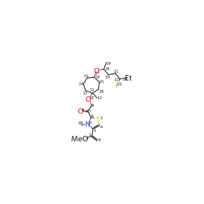 C=C(OC)C1=CSC(C(=O)COC2(C)CCCC(OC(C)CCC(F)CC)CC2)N1C